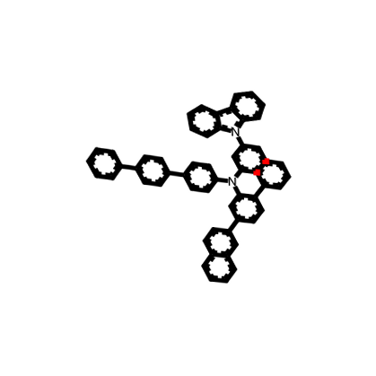 c1ccc(-c2ccc(-c3ccc(N(c4cccc(-n5c6ccccc6c6ccccc65)c4)c4cc(-c5ccc6ccccc6c5)ccc4-c4ccccc4)cc3)cc2)cc1